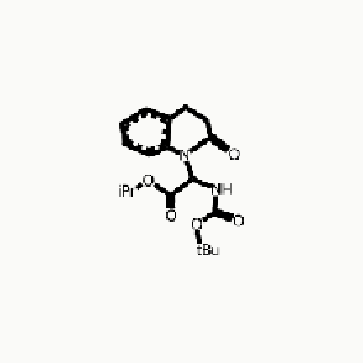 CC(C)OC(=O)C(NC(=O)OC(C)(C)C)N1C(=O)CCc2ccccc21